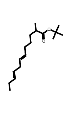 CCC=CCC=CCCCC(C)C(=O)OC(C)(C)C